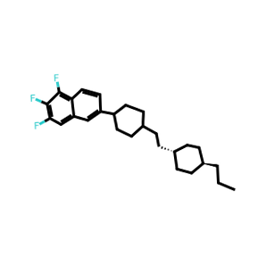 CCC[C@H]1CC[C@H](CCC2CCC(c3ccc4c(F)c(F)c(F)cc4c3)CC2)CC1